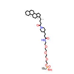 C[C@H](CCC(=O)N1CCC(CCC(=O)NCCOCCOCCOCCOP(=O)(O)C(C)(C)C)CC1)C1CCC2C3CCC4CCCC[C@]4(C)C3CC[C@@]21C